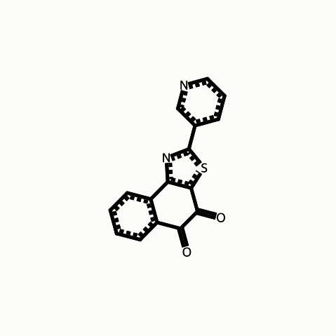 O=C1C(=O)c2sc(-c3cccnc3)nc2-c2ccccc21